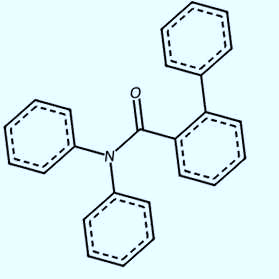 O=C(c1ccccc1-c1cc[c]cc1)N(c1ccccc1)c1ccccc1